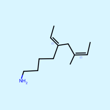 C/C=C(/C)C/C(=C\C)CCCCN